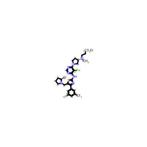 CCOC(=O)CCN(C)[C@H]1CCN(c2ncnc(Nc3nc(-c4cc(F)cc(C(F)(F)F)c4)c(CN4CCC[C@H]4CC)s3)c2F)C1